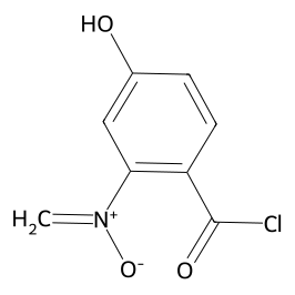 C=[N+]([O-])c1cc(O)ccc1C(=O)Cl